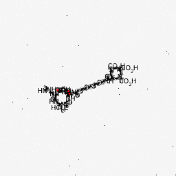 CC(=N)NCCC[C@@H]1NC(=O)[C@@H]2CC[C@H]3C[C@@H](CNC(=O)COCCOCCOCCOCCNC(=O)CN4CCN(CC(=O)O)CCN(CC(=O)O)CCN(CC(=O)O)CC4)[C@@H](NC(=O)[C@H](CC(=O)O)NC(=O)CNC1=O)C(=O)N32